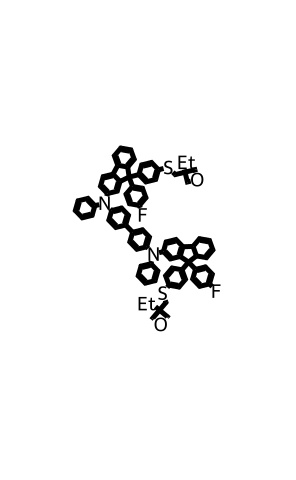 CCC1(CSc2ccc(C3(c4ccc(F)cc4)c4ccccc4-c4ccc(N(c5ccccc5)c5ccc(-c6ccc(N(c7ccccc7)c7ccc8c(c7)C(c7ccc(F)cc7)(c7ccc(SCC9(CC)COC9)cc7)C7C=CC=CC87)cc6)cc5)cc43)cc2)COC1